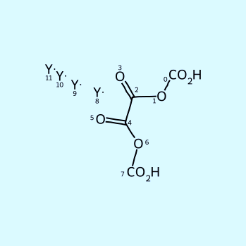 O=C(O)OC(=O)C(=O)OC(=O)O.[Y].[Y].[Y].[Y]